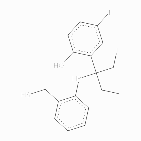 CCC(CI)(Pc1ccccc1CS)c1cc(I)ccc1O